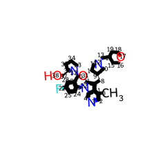 Cc1cncc2c1c(C[C@@H]1CCN(CC3CCOCC3)C1)cn2-c1ccc(F)cc1C(=O)N1CCC[C@@H]1CO